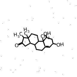 CC1C(=O)CC2C3CCC4=CC(O)CC(O)C4(C)C3CCC12C